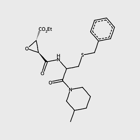 CCOC(=O)[C@H]1O[C@@H]1C(=O)NC(CSCc1ccccc1)C(=O)N1CCCC(C)C1